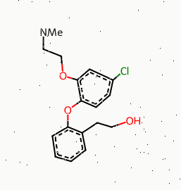 CNCCOc1cc(Cl)ccc1Oc1ccccc1CCO